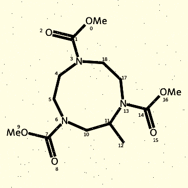 COC(=O)N1CCN(C(=O)OC)CC(C)N(C(=O)OC)CC1